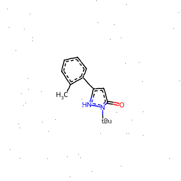 Cc1ccccc1-c1cc(=O)n(C(C)(C)C)[nH]1